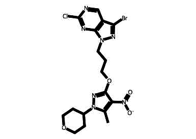 Cc1c([N+](=O)[O-])c(OCCCn2nc(Br)c3cnc(Cl)nc32)nn1C1CCOCC1